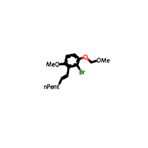 CCCCCC=Cc1c(OC)ccc(OCOC)c1Br